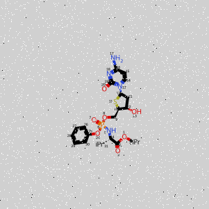 CC(C)OC(=O)[C@@H](NP(=O)(OC[C@H]1S[C@@H](n2ccc(N)nc2=O)C[C@H]1O)Oc1ccccc1)C(C)C